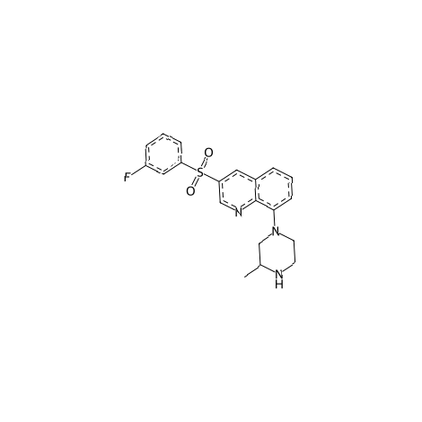 CC1CN(c2cccc3cc(S(=O)(=O)c4cccc(F)c4)cnc23)CCN1